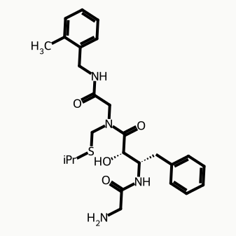 Cc1ccccc1CNC(=O)CN(CSC(C)C)C(=O)[C@@H](O)[C@H](Cc1ccccc1)NC(=O)CN